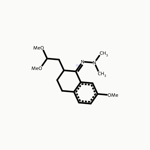 COc1ccc2c(c1)/C(=N\N(C)C)C(CC(OC)OC)CC2